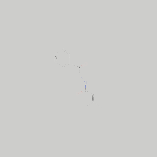 CC(C)=CC(=O)NCC(=O)c1ccccc1